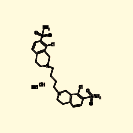 Cl.Cl.NS(=O)(=O)c1ccc2c(c1Cl)CN(CCCCN1CCc3ccc(S(N)(=O)=O)c(Cl)c3C1)CC2